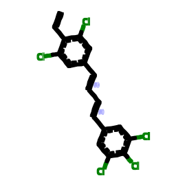 C=Cc1c(Cl)cc(/C=C/C=C/c2cc(Cl)c(Cl)c(Cl)c2)cc1Cl